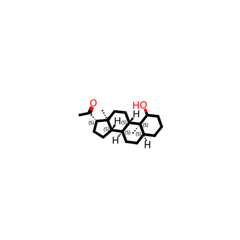 CC(=O)[C@H]1CC[C@H]2[C@@H]3CC[C@@H]4CCCC(O)[C@]4(C)[C@H]3CC[C@]12C